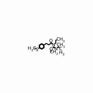 CCCN(C(=O)CCc1ccc(SC)cc1)/C(=N\C(C)C)OC